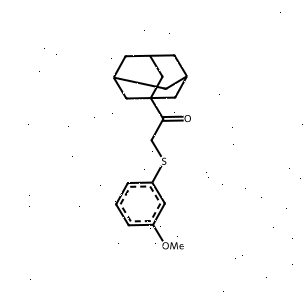 COc1cccc(SCC(=O)C23CC4CC(CC(C4)C2)C3)c1